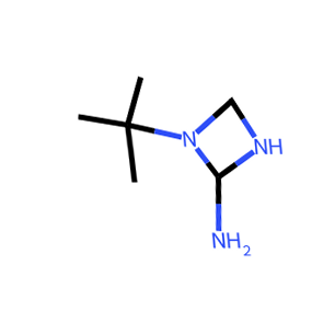 CC(C)(C)N1CNC1N